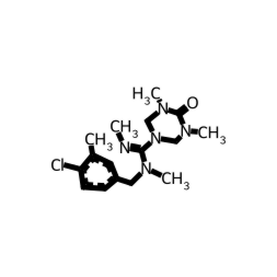 C/N=C(/N(C)Cc1ccc(Cl)c(C)c1)N1CN(C)C(=O)N(C)C1